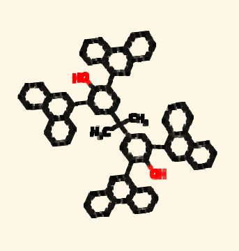 CC(C)(c1cc(-c2cc3ccccc3c3ccccc23)c(O)c(-c2cc3ccccc3c3ccccc23)c1)c1cc(-c2cc3ccccc3c3ccccc23)c(O)c(-c2cc3ccccc3c3ccccc23)c1